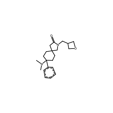 CN(C)C1(c2ccccc2)CCC2(CC1)CC(=O)N(CC1COC1)C2